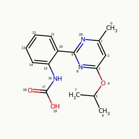 Cc1cc(OC(C)C)nc(-c2ccccc2NC(=O)O)n1